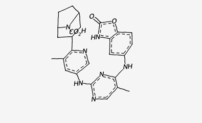 Cc1cnc(Nc2cnc(C3CC4CCC(C3)N4C(=O)O)c(C)c2)nc1Nc1ccc2oc(=O)[nH]c2c1